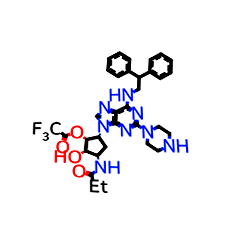 CCC(=O)N[C@H]1C[C@@H](n2cnc3c(NCC(c4ccccc4)c4ccccc4)nc(N4CCNCC4)nc32)[C@H](OC(=O)C(F)(F)F)[C@@H]1O